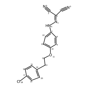 N#CC(C#N)=NNc1ccc(OCCc2ccc(Cl)cc2)cc1